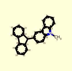 Cn1c2ccccc2c2cc(C3c4ccccc4-c4ccccc43)ccc21